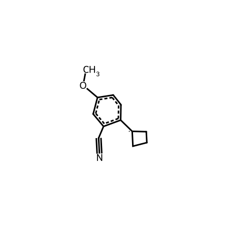 COc1ccc([C]2CCC2)c(C#N)c1